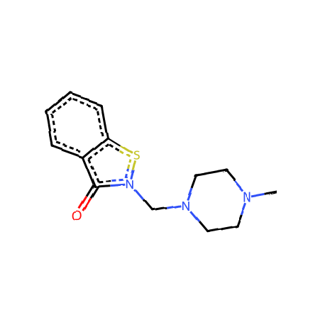 CN1CCN(Cn2sc3ccccc3c2=O)CC1